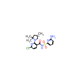 C[C@@H]1CN(c2nc(Cl)ccc2C(=O)NS(=O)(=O)c2cccc(N)n2)C(C)(C)C1